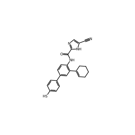 N#Cc1cnc(C(=O)Nc2ccc(-c3ccc(S)cc3)cc2C2=CCCCC2)[nH]1